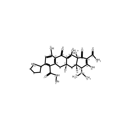 CCCNC(=O)c1c(C2CCCN2)cc(O)c2c1C[C@H]1C[C@H]3[C@H](N(C)C)C(O)=C(C(N)=O)C(=O)[C@@]3(O)C(O)=C1C2=O